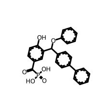 O=C(c1ccc(O)c(C(Oc2ccccc2)c2ccc(-c3ccccc3)cc2)c1)P(=O)(O)O